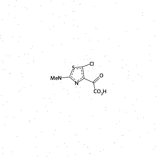 CNc1nc(C(=O)C(=O)O)c(Cl)s1